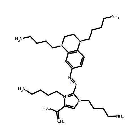 C=C(C)c1cn(CCCCN)c(/N=N/c2ccc3c(c2)N(CCCCN)CCN3CCCCN)[n+]1CCCCN